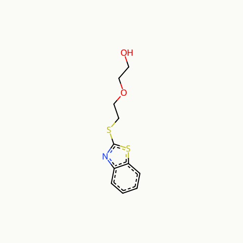 OCCOCCSc1nc2ccccc2s1